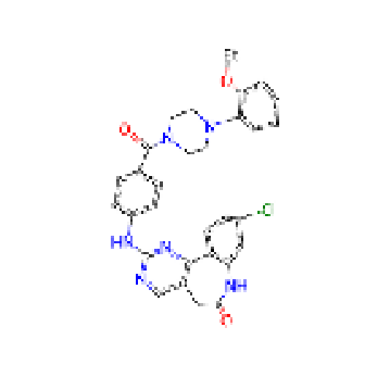 CCOc1ccccc1N1CCN(C(=O)c2ccc(Nc3ncc4c(n3)-c3ccc(Cl)cc3NC(=O)C4)cc2)CC1